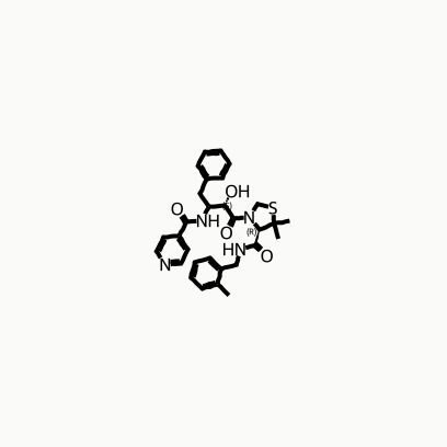 Cc1ccccc1CNC(=O)[C@H]1N(C(=O)[C@@H](O)C(Cc2ccccc2)NC(=O)c2ccncc2)CSC1(C)C